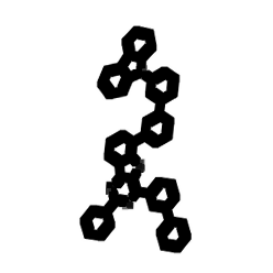 c1ccc(-c2cccc(-c3nc(-c4ccccc4)nc4c3sc3c(-c5cccc(-c6cccc(-n7c8ccccc8c8ccccc87)c6)c5)cccc34)c2)cc1